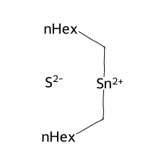 CCCCCC[CH2][Sn+2][CH2]CCCCCC.[S-2]